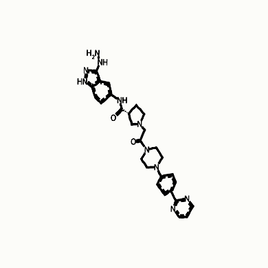 NNc1n[nH]c2ccc(NC(=O)[C@@H]3CCN(CC(=O)N4CCN(c5ccc(-c6ncccn6)cc5)CC4)C3)cc12